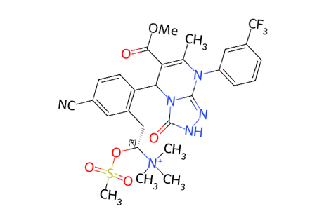 COC(=O)C1=C(C)N(c2cccc(C(F)(F)F)c2)c2n[nH]c(=O)n2C1c1ccc(C#N)cc1C[C@@H](OS(C)(=O)=O)[N+](C)(C)C